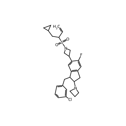 C=CC(CC1CC1)S(=O)(=O)N1CC(c2cc3c(cc2F)CC(N2CCC2)C3Cc2cccc(Cl)c2)C1